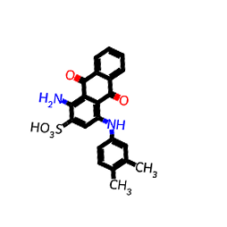 Cc1ccc(Nc2cc(S(=O)(=O)O)c(N)c3c2C(=O)c2ccccc2C3=O)cc1C